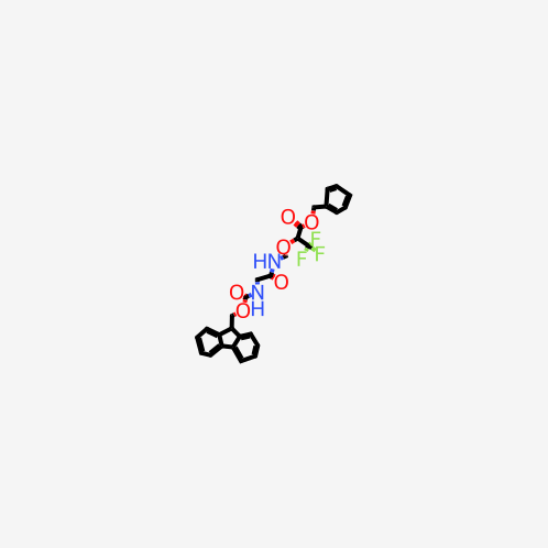 O=C(CNC(=O)OCC1c2ccccc2-c2ccccc21)NCOC(C(=O)OCc1ccccc1)C(F)(F)F